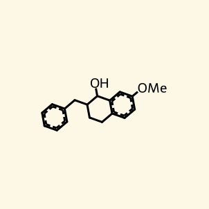 COc1ccc2c(c1)C(O)C(Cc1ccccc1)CC2